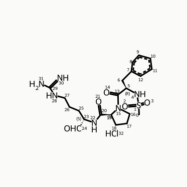 CS(=O)(=O)N[C@H](Cc1ccccc1)C(=O)N1CCC[C@H]1C(=O)N[C@H](C=O)CCCNC(=N)N.Cl